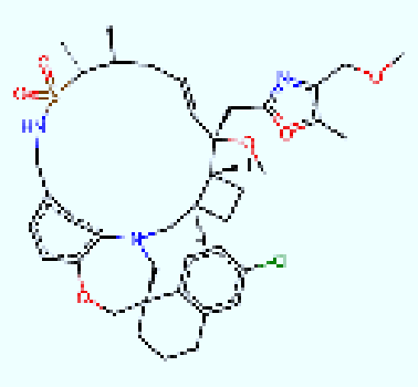 COCc1nc(C[C@]2(OC)/C=C/C[C@H](C)[C@@H](C)S(=O)(=O)NCc3ccc4c(c3)N(C[C@@H]3CC[C@H]32)C[C@@]2(CCCc3cc(Cl)ccc32)CO4)oc1C